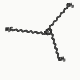 CCCCCCCCCCCCCC[n+]1cc(CCCCCCCCCCC)cc(CCCCCCCCCCC)c1